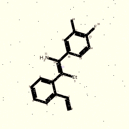 C=Cc1ccccc1/C(CC)=C(\N)c1ccc(F)c(C)c1